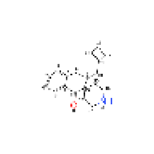 O=C1c2ccccc2CC(CC2CCC2)C12CCNCC2